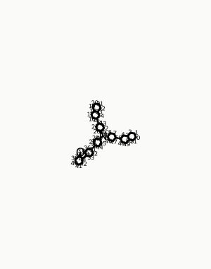 c1ccc2cc(-c3ccc(N(c4ccc(-c5ccc6ccccc6c5)cc4)c4ccc(-c5ccc6c(c5)oc5ccccc56)cc4)cc3)ccc2c1